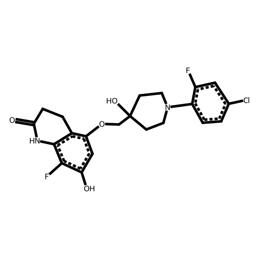 O=C1CCc2c(OCC3(O)CCN(c4ccc(Cl)cc4F)CC3)cc(O)c(F)c2N1